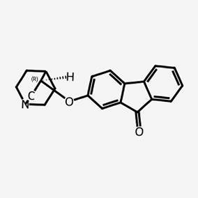 O=C1c2ccccc2-c2ccc(O[C@H]3CN4CCC3CC4)cc21